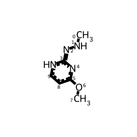 CNN=c1nc(OC)cc[nH]1